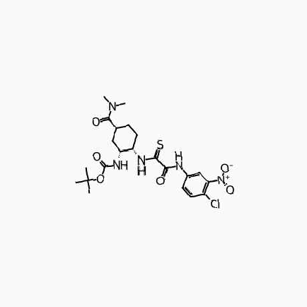 CN(C)C(=O)[C@H]1CC[C@H](NC(=S)C(=O)Nc2ccc(Cl)c([N+](=O)[O-])c2)[C@H](NC(=O)OC(C)(C)C)C1